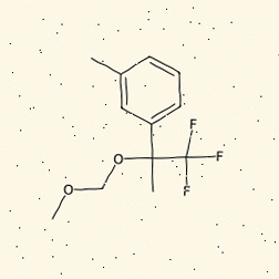 COCOC(C)(c1cccc(C)c1)C(F)(F)F